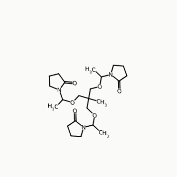 CC(OCC(C)(COC(C)N1CCCC1=O)COC(C)N1CCCC1=O)N1CCCC1=O